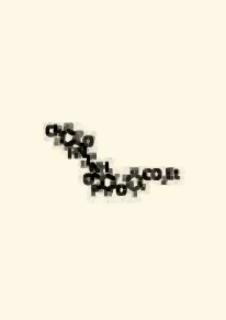 CCOC(=O)[C@H]1CC[C@@H](Oc2ccc(C(=O)NCCNC(=O)c3ccc(Cl)cc3)c(F)c2)CC1